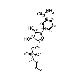 CCCOP(=O)([O-])OC[C@H]1O[C@@H]([n+]2cccc(C(N)=O)c2)[C@H](O)[C@@H]1O